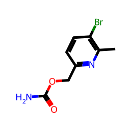 Cc1nc(COC(N)=O)ccc1Br